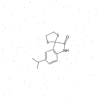 CC(C)c1ccc2c(c1)C1(SCCS1)C(=O)N2